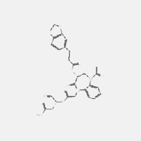 CC(=O)N1C[C@H](NC(=O)CCc2ccc3c(c2)OCO3)C(=O)N(CC(=O)N[C@H](C=O)CC(=O)O)c2ccccc21